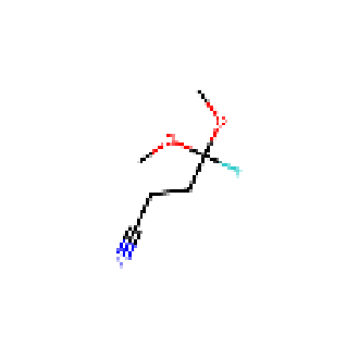 COC(F)(CCC#N)OC